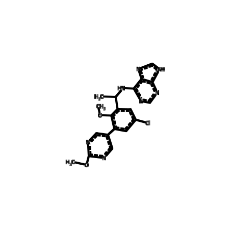 COc1ncc(-c2cc(Cl)cc(C(C)Nc3ncnc4[nH]cnc34)c2OC)cn1